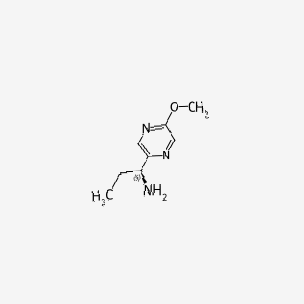 CC[C@H](N)c1cnc(OC)cn1